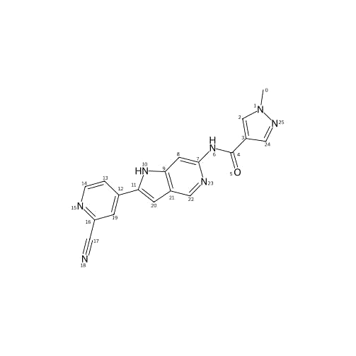 Cn1cc(C(=O)Nc2cc3[nH]c(-c4ccnc(C#N)c4)cc3cn2)cn1